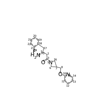 N[C@@H](CC(=O)N1CC(COc2ccccn2)C1)Cc1ccccc1F